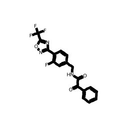 O=C(NCc1ccc(-c2noc(C(F)(F)F)n2)c(F)c1)C(=O)c1ccccc1